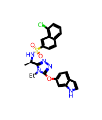 CCn1c(Oc2ccc3cc[nH]c3c2)nnc1[C@@H](C)NS(=O)(=O)c1ccc2cccc(Cl)c2c1